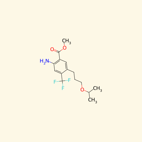 COC(=O)c1cc(CCCOC(C)C)c(C(F)(F)F)cc1N